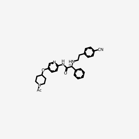 CC(=O)N1CCC(Oc2ccc(NC(=O)[C@@H](NCCc3ccc(C#N)cc3)c3ccccc3)nc2)CC1